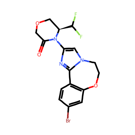 O=C1COC[C@@H](C(F)F)N1c1cn2c(n1)-c1ccc(Br)cc1OCC2